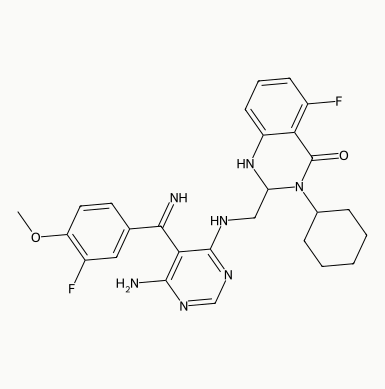 COc1ccc(C(=N)c2c(N)ncnc2NCC2Nc3cccc(F)c3C(=O)N2C2CCCCC2)cc1F